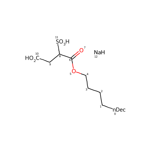 CCCCCCCCCCCCCCOC(=O)C(CC(=O)O)S(=O)(=O)O.[NaH]